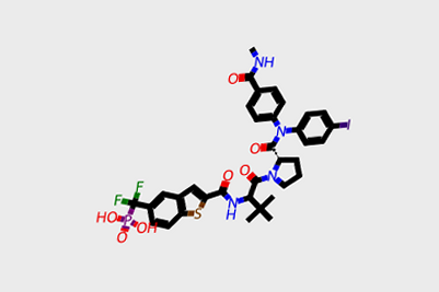 CNC(=O)c1ccc(N(C(=O)[C@@H]2CCCN2C(=O)C(NC(=O)c2cc3cc(C(F)(F)P(=O)(O)O)ccc3s2)C(C)(C)C)c2ccc(I)cc2)cc1